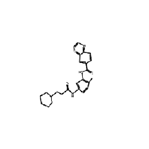 Cc1ccc(NC(=O)CCC2CCCCC2)cc1NC(=O)c1ccc2nccnc2c1